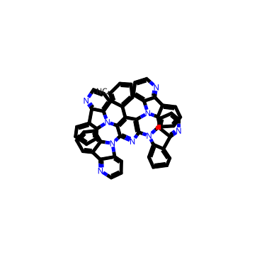 N#Cc1cccc(-c2c(-n3c4ccccc4c4ncccc43)c(-n3c4ccccc4c4ncccc43)nc(-n3c4ccccc4c4ncccc43)c2-n2c3ccccc3c3ncccc32)c1